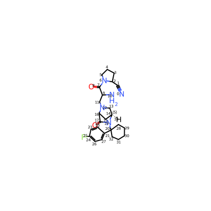 N#CC1CCCN1C(=O)C(N)CN1C[C@@H]2CC1C(=O)N2C1(c2ccc(F)cc2)CCCCC1